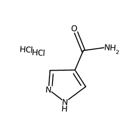 Cl.Cl.NC(=O)c1cn[nH]c1